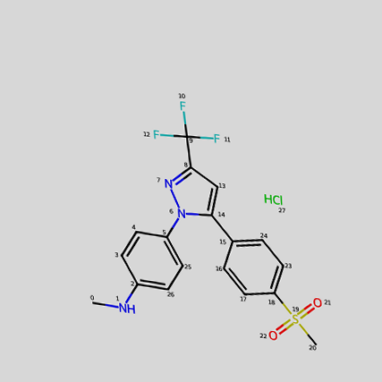 CNc1ccc(-n2nc(C(F)(F)F)cc2-c2ccc(S(C)(=O)=O)cc2)cc1.Cl